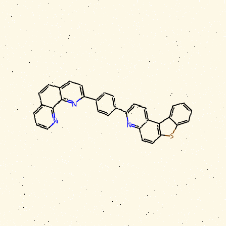 c1cnc2c(c1)ccc1ccc(-c3ccc(-c4ccc5c(ccc6sc7ccccc7c65)n4)cc3)nc12